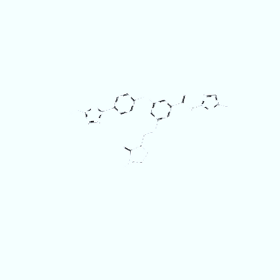 Cc1nnc(-c2ccc(Oc3cc(OCC4CCN(C)C4=O)cc(C(=O)Nc4ncc(Cl)s4)c3)cc2)o1